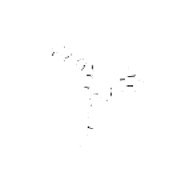 CCNC(=O)CCCCCN(CCN(C)C(=O)CC(C)(C)C1=C(C)C(=O)C(C)=C(C)C1=O)C(=O)Oc1ccc2nc(C3=NC(C(=O)O)CS3)sc2c1